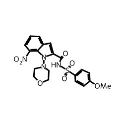 COc1ccc(S(=O)(=O)NC(=O)c2cc3cccc([N+](=O)[O-])c3n2N2CCOCC2)cc1